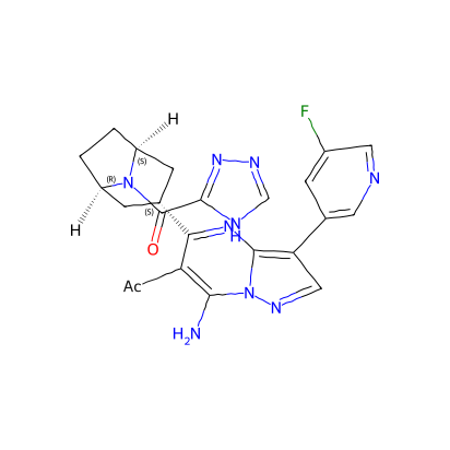 CC(=O)c1c([C@@H]2C[C@H]3CC[C@@H](C2)N3C(=O)c2nnc[nH]2)nc2c(-c3cncc(F)c3)cnn2c1N